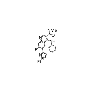 CCn1ccc(-c2cc3c(Nc4ccccc4)c(C(=O)NC)cnc3cc2F)n1